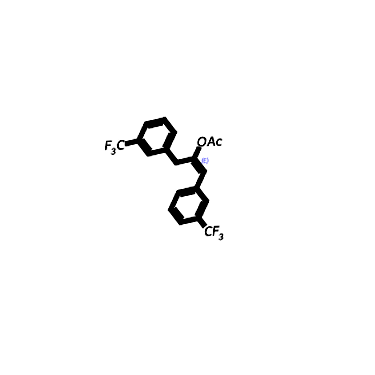 CC(=O)O/C(=C/c1cccc(C(F)(F)F)c1)Cc1cccc(C(F)(F)F)c1